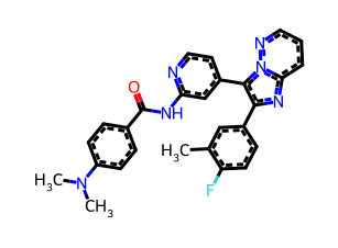 Cc1cc(-c2nc3cccnn3c2-c2ccnc(NC(=O)c3ccc(N(C)C)cc3)c2)ccc1F